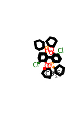 CCOC(=O)COc1c(Cl)ccc(P(=O)(C2CCCCC2)C2CCCCC2)c1-c1c(P(=O)(C2CCCCC2)C2CCCCC2)ccc(Cl)c1O